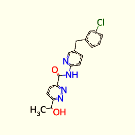 CC(O)c1ccc(C(=O)Nc2ccc(Cc3cccc(Cl)c3)cn2)nn1